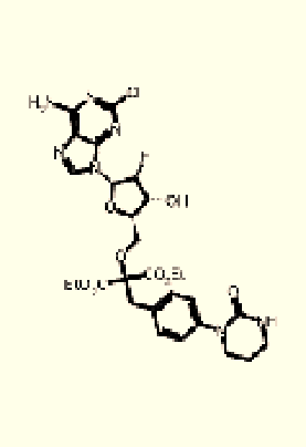 CCOC(=O)C(Cc1ccc(N2CCCNC2=O)cc1)(OC[C@H]1O[C@@H](n2cnc3c(N)nc(Cl)nc32)[C@@H](F)[C@@H]1O)C(=O)OCC